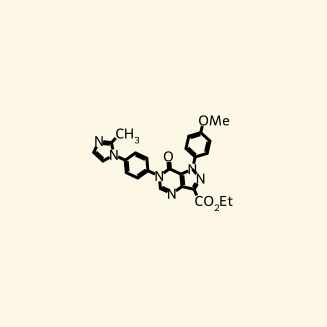 CCOC(=O)c1nn(-c2ccc(OC)cc2)c2c(=O)n(-c3ccc(-n4ccnc4C)cc3)cnc12